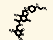 CCN[C@H]1CC[C@H](C2(C)Oc3c(Br)cc(C(=O)NCc4c(C)cc(C)[nH]c4=O)c(C)c3O2)CC1